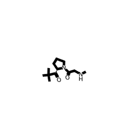 CNCC(=O)N1CCC[C@H]1C(=O)C(C)(C)C